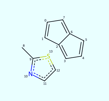 C1=CC2=CC=CC2=C1.Cc1nccs1